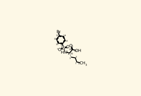 CCCC[C@H](NS(=O)(=O)c1ccc(Br)cc1)C(=O)O